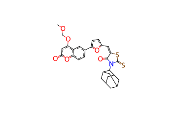 COCOc1cc(=O)oc2ccc(-c3ccc(C=C4SC(=S)N(C5C6CC7CC(C6)CC5C7)C4=O)o3)cc12